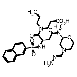 C=CCN(CCC(=O)O)C(=O)[C@@H](CC(=O)N(C)[C@@H]1CN(C=NN)CCO1)NS(=O)(=O)c1ccc2ccccc2c1